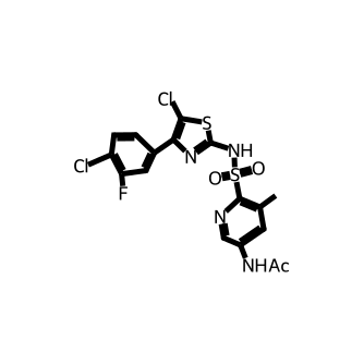 CC(=O)Nc1cnc(S(=O)(=O)Nc2nc(-c3ccc(Cl)c(F)c3)c(Cl)s2)c(C)c1